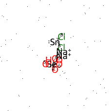 O.O.O=[Se]([O-])[O-].[Cl][Sn][Cl].[Na+].[Na+]